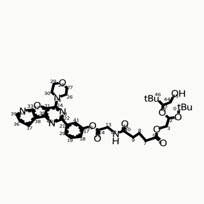 CC(C)(C)OC(COC(=O)CCCC(=O)NCC(=O)Oc1cccc(-c2nc(N3CCOCC3)c3oc4ncccc4c3n2)c1)OC(CO)C(C)(C)C